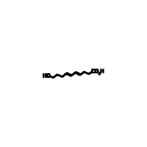 O=C(O)CCC=CC=CCCCO